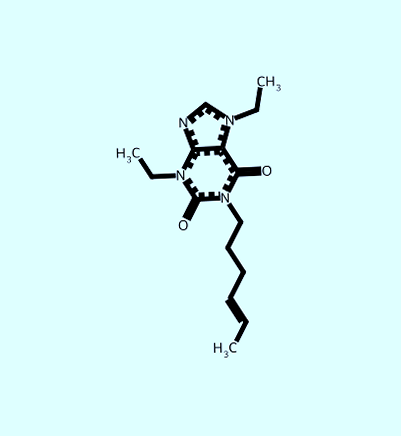 CC=CCCCn1c(=O)c2c(ncn2CC)n(CC)c1=O